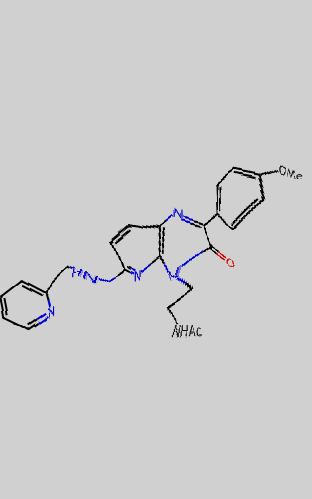 COc1ccc(-c2nc3ccc(NCc4ccccn4)nc3n(CCNC(C)=O)c2=O)cc1